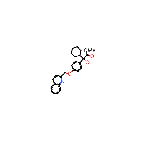 COC(=O)C(O)(c1ccc(OCc2ccc3ccccc3n2)cc1)C1CCCCC1